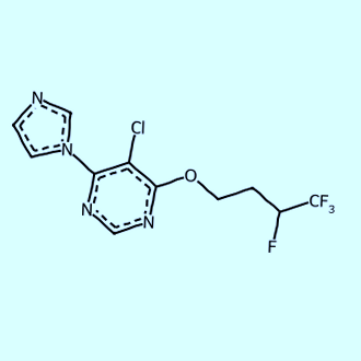 FC(CCOc1ncnc(-n2ccnc2)c1Cl)C(F)(F)F